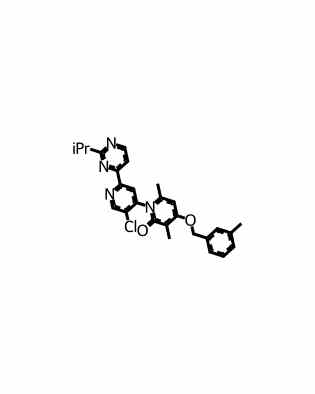 Cc1cccc(COc2cc(C)n(-c3cc(-c4ccnc(C(C)C)n4)ncc3Cl)c(=O)c2C)c1